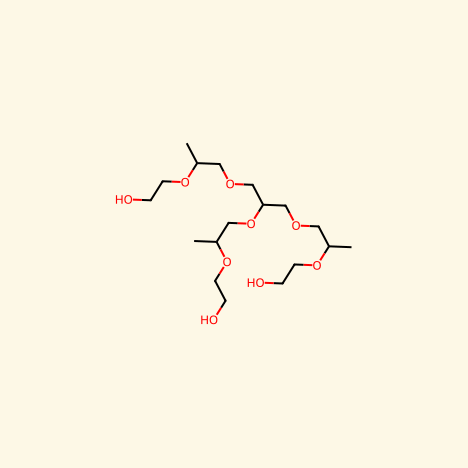 CC(COCC(COCC(C)OCCO)OCC(C)OCCO)OCCO